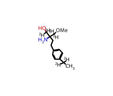 [2H]C([2H])(C)c1ccc(CCC(N)(C([2H])([2H])O)C([2H])([2H])OC)cc1